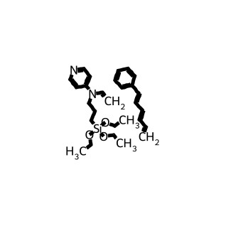 C=CC=CC=Cc1ccccc1.C=CN(CCC[Si](OCC)(OCC)OCC)c1ccncc1